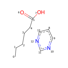 CCCCCC(=O)O.c1cncnc1